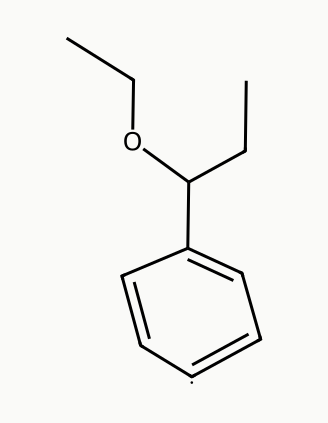 CCOC(CC)c1cc[c]cc1